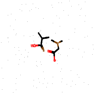 CC(C)C(O)=S.C[S+](C)CC(=O)[O-]